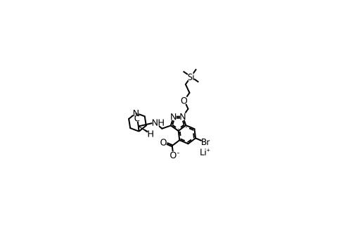 C[Si](C)(C)CCOCn1nc(CN[C@H]2CN3CCC2CC3)c2c(C(=O)[O-])cc(Br)cc21.[Li+]